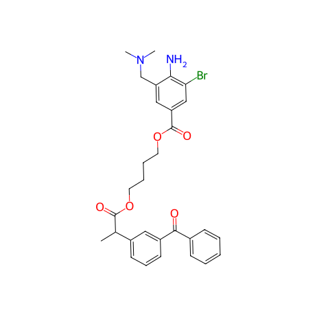 CC(C(=O)OCCCCOC(=O)c1cc(Br)c(N)c(CN(C)C)c1)c1cccc(C(=O)c2ccccc2)c1